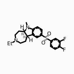 CCN1CC[C@H]2c3cc(S(=O)(=O)c4ccc(F)c(F)c4)ccc3N(C)[C@H]2CC1